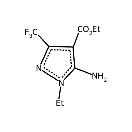 CCOC(=O)c1c(C(F)(F)F)nn(CC)c1N